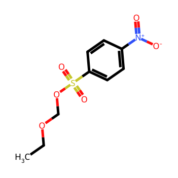 CCOCOS(=O)(=O)c1ccc([N+](=O)[O-])cc1